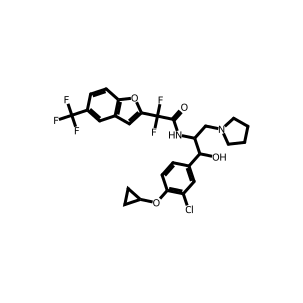 O=C(NC(CN1CCCC1)C(O)c1ccc(OC2CC2)c(Cl)c1)C(F)(F)c1cc2cc(C(F)(F)F)ccc2o1